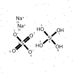 O=S(=O)([O-])[O-].O[Si](O)(O)O.[Na+].[Na+]